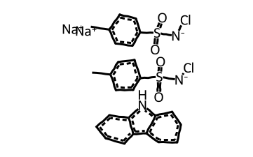 Cc1ccc(S(=O)(=O)[N-]Cl)cc1.Cc1ccc(S(=O)(=O)[N-]Cl)cc1.[Na+].[Na+].c1ccc2c(c1)[nH]c1ccccc12